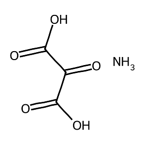 N.O=C(O)C(=O)C(=O)O